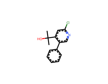 CC(C)(O)c1cc(Cl)ncc1-c1ccccc1